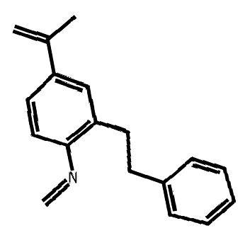 C=Nc1ccc(C(=C)C)cc1CCc1ccccc1